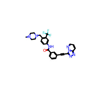 CN1CCN(Cc2ccc(NC(=O)c3cccc(C#Cc4nnc5cccnn45)c3)cc2C(F)(F)F)CC1